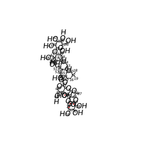 CC(=O)O[C@H]1[C@@H](O)[C@H](O[C@H]2[C@H](OC(=O)[C@]34CCC(C)(C)C[C@H]3C3=CC[C@@H]5[C@@]6(C)C[C@H](O)[C@H](O[C@@H]7O[C@H](CO)[C@@H](O)[C@H](O)[C@H]7O)C(CO)(CO)[C@@H]6CC[C@@]5(C)[C@]3(C)C[C@H]4O)OC[C@H](O)[C@@H]2O)O[C@@H](C)[C@@H]1O[C@@H]1OC[C@@H](O)[C@H](O)[C@H]1O